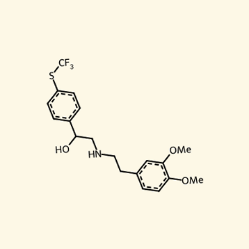 COc1ccc(CCNCC(O)c2ccc(SC(F)(F)F)cc2)cc1OC